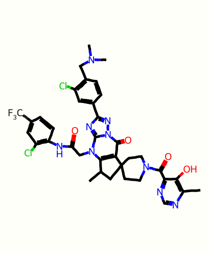 Cc1ncnc(C(=O)N2CCC3(CC2)CC(C)c2c3c(=O)n3nc(-c4ccc(CN(C)C)c(Cl)c4)nc3n2CC(=O)Nc2ccc(C(F)(F)F)cc2Cl)c1O